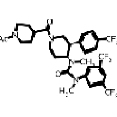 CC(=O)N1CCC(C(=O)N2CC[C@@H](N(C)C(=O)N(C)c3cc(C(F)(F)F)cc(C(F)(F)F)c3)[C@H](c3ccc(C(F)(F)F)cc3)C2)CC1